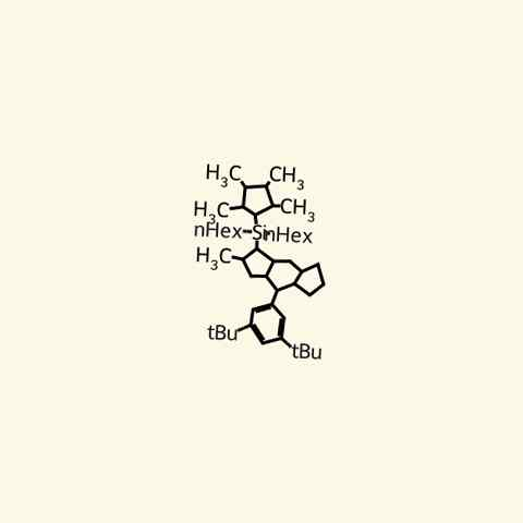 CCCCCC[Si](CCCCCC)(C1C(C)C(C)C(C)C1C)C1C(C)CC2C1CC1CCCC1C2c1cc(C(C)(C)C)cc(C(C)(C)C)c1